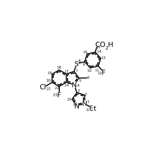 CCn1cc(-n2c(C)c(Sc3cc(F)cc(C(=O)O)c3)c3ccc(Cl)c(F)c32)cn1